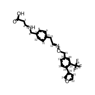 O=C(O)CCNCc1ccc(CC=NOCc2ccc(-c3ccoc3)c(C(F)(F)F)c2)cc1